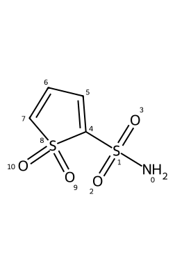 NS(=O)(=O)C1=CC=CS1(=O)=O